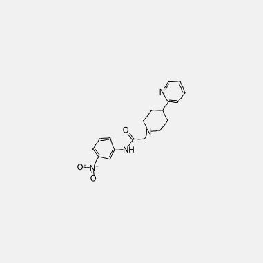 O=C(CN1CCC(c2ccccn2)CC1)Nc1cccc([N+](=O)[O-])c1